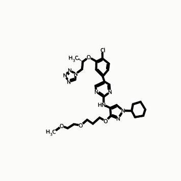 COCCOCCCOc1nn(C2CCCCC2)cc1Nc1ncc(-c2ccc(Cl)c(O[C@@H](C)Cn3cnnn3)c2)cn1